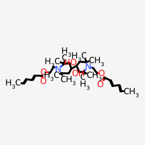 CC=CC=CC(=O)OCCN1C(C)(C)CC(O)(C2(O)CC(C)(C)N(CCOC(=O)C=CC=CC)C(C)(C)C2)CC1(C)C